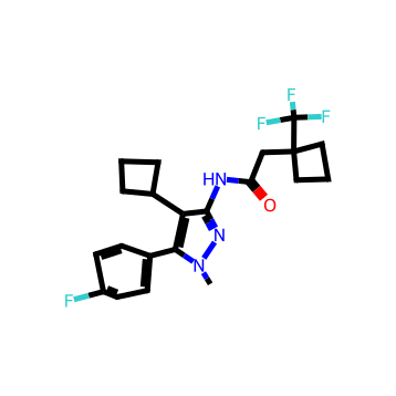 Cn1nc(NC(=O)CC2(C(F)(F)F)CCC2)c(C2CCC2)c1-c1ccc(F)cc1